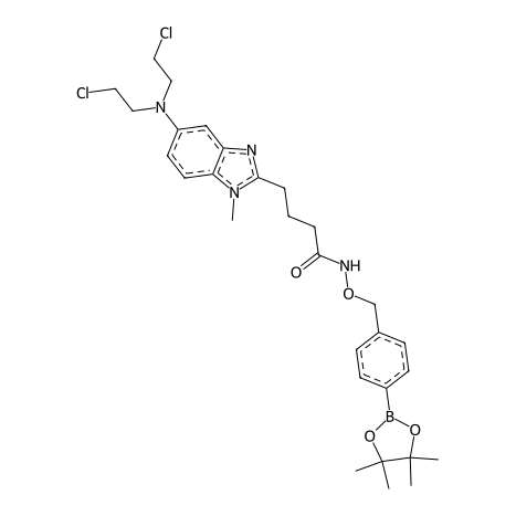 Cn1c(CCCC(=O)NOCc2ccc(B3OC(C)(C)C(C)(C)O3)cc2)nc2cc(N(CCCl)CCCl)ccc21